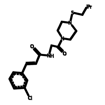 CC(C)CSN1CCN(C(=O)CNC(=O)/C=C/c2cccc(Cl)c2)CC1